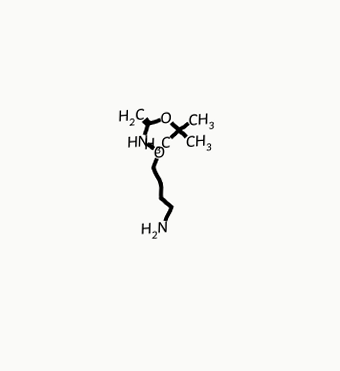 C=C(NOCCCCN)OC(C)(C)C